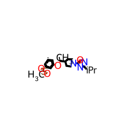 CC(C)c1noc(N2CCC([C@H](C)Oc3c[c]cc(S(C)(=O)=O)c3)CC2)n1